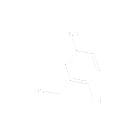 [NH]Cc1cc(N)ccc1O